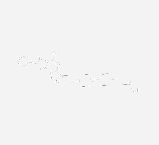 NC(=O)COc1ccc(N2CCN(CCn3ncc4c3nc(N)n3nc(-c5ccco5)cc43)CC2)cc1